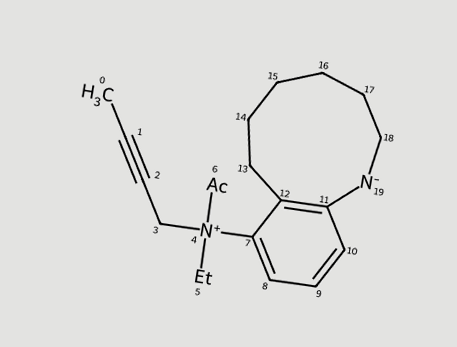 CC#CC[N+](CC)(C(C)=O)c1cccc2c1CCCCCC[N-]2